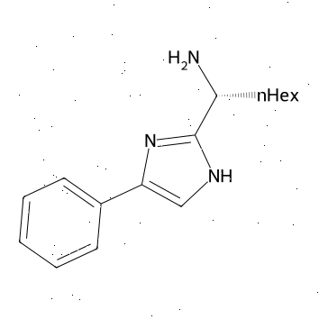 CCCCCC[C@@H](N)c1nc(-c2ccccc2)c[nH]1